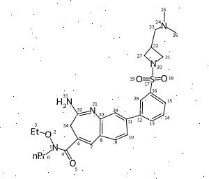 CCCN(OCC)C(=O)C1=Cc2ccc(-c3cccc(S(=O)(=O)N4CC(CN(C)C)C4)c3)cc2N=C(N)C1